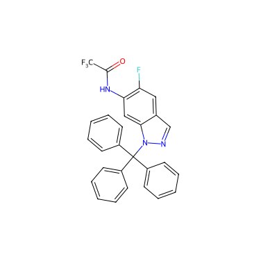 O=C(Nc1cc2c(cnn2C(c2ccccc2)(c2ccccc2)c2ccccc2)cc1F)C(F)(F)F